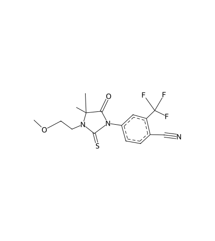 COCCN1C(=S)N(c2ccc(C#N)c(C(F)(F)F)c2)C(=O)C1(C)C